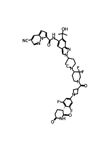 CC(C)(O)c1cc2nn(C3CCN([C@@H]4CCN(C(=O)C5CN(c6cc(F)c([C@H]7CCC(=O)NC7=O)c(F)c6)C5)CC4(F)F)CC3)cc2cc1NC(=O)c1ccc2cc(C#N)cnn12